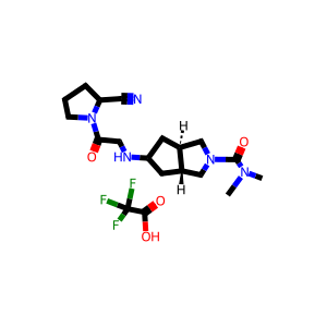 CN(C)C(=O)N1C[C@@H]2CC(NCC(=O)N3CCCC3C#N)C[C@H]2C1.O=C(O)C(F)(F)F